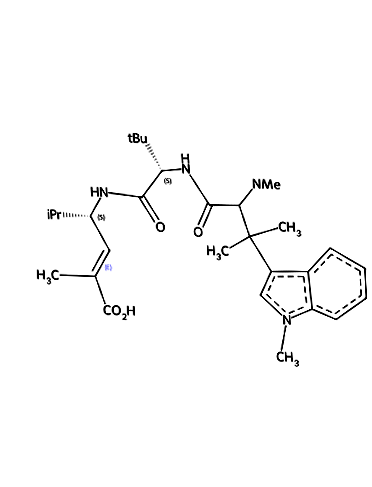 CNC(C(=O)N[C@H](C(=O)N[C@H](/C=C(\C)C(=O)O)C(C)C)C(C)(C)C)C(C)(C)c1cn(C)c2ccccc12